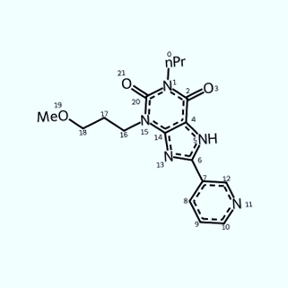 CCCn1c(=O)c2[nH]c(-c3cccnc3)nc2n(CCCOC)c1=O